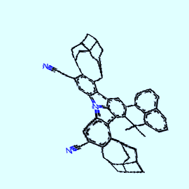 CC1(C)c2cccc3cccc(c23)-c2cc3c4c5c(c(C#N)cc4n4c6cc(C#N)c7c(c6c(c21)c34)C1CC2CC3CC7CC32C1)C1CC2CC3CC5CC23C1